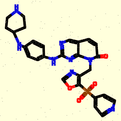 O=c1ccc2cnc(Nc3ccc(NC4CCNCC4)cc3)nc2n1Cc1ncoc1S(=O)(=O)c1ccncc1